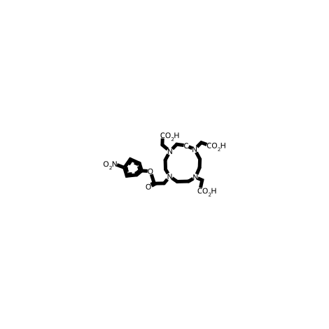 O=C(O)CN1CCN(CC(=O)O)CCN(CC(=O)Oc2ccc([N+](=O)[O-])cc2)CCN(CC(=O)O)CC1